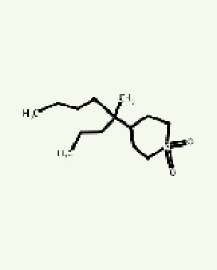 CCCCC(C)(CCC)C1CCS(=O)(=O)CC1